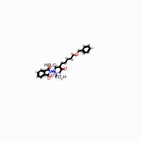 O=C1C[N+]([O-])(C(=O)O)N(N2C(=O)c3ccccc3C2=O)C(C(=O)O)C1CCCCCOCc1ccccc1